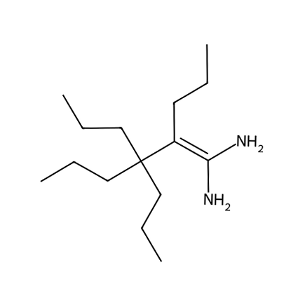 CCCC(=C(N)N)C(CCC)(CCC)CCC